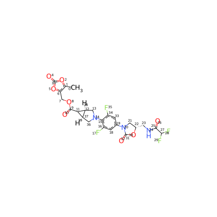 Cc1oc(=O)oc1COC(=O)C1[C@H]2CN(c3c(F)cc(N4C[C@H](CNC(=O)C(F)F)OC4=O)cc3F)C[C@@H]12